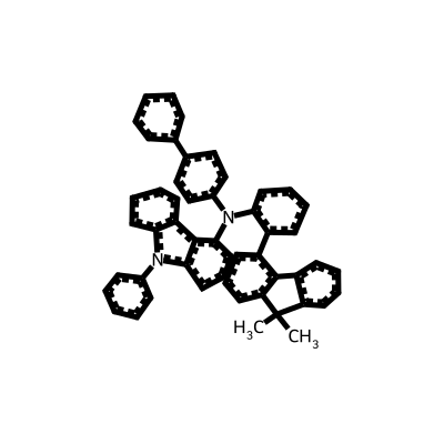 CC1(C)c2ccccc2-c2c(-c3ccccc3N(c3ccc(-c4ccccc4)cc3)c3cccc4c3c3ccccc3n4-c3ccccc3)cccc21